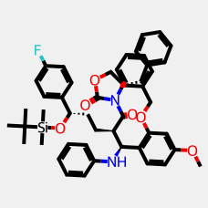 COc1ccc([C@@H](Nc2ccccc2)[C@@H](CC[C@H](O[Si](C)(C)C(C)(C)C)c2ccc(F)cc2)C(=O)N2C(=O)OC[C@@H]2Cc2ccccc2)c(OCc2ccccc2)c1